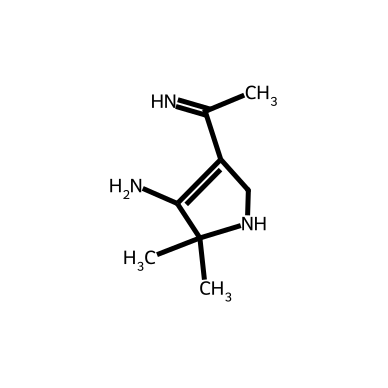 CC(=N)C1=C(N)C(C)(C)NC1